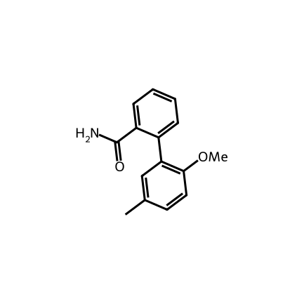 COc1ccc(C)cc1-c1ccccc1C(N)=O